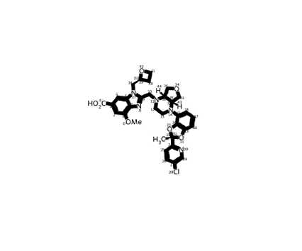 COc1cc(C(=O)O)cc2c1nc(CN1CCN(c3cccc4c3O[C@@](C)(c3ccc(Cl)cn3)O4)[C@H]3COC[C@H]31)n2C[C@@H]1CCO1